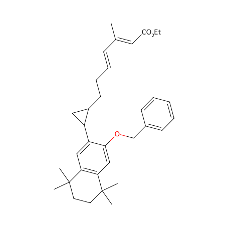 CCOC(=O)C=C(C)C=CCCC1CC1c1cc2c(cc1OCc1ccccc1)C(C)(C)CCC2(C)C